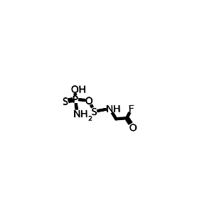 NP(O)(=S)OSNCC(=O)F